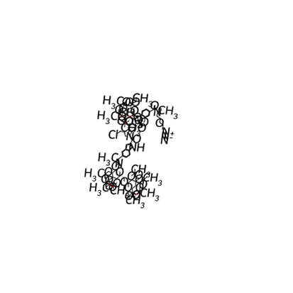 COC(=O)C1OC(OC[C@H]2O[C@@H](O/N=C(\C)c3ccc4[nH]c(C(=O)N5C[C@@H](CCl)c6c5cc(S(=O)(=O)Oc5cc(C(=O)N(C)CCOCCN=[N+]=[N-])ccc5OC5O[C@H](C(=O)OC)[C@@H](OC(C)=O)[C@H](OC(C)=O)[C@H]5OC(C)=O)c5ccc(OC)cc65)cc4c3)[C@H](OC(C)=O)C(OC(C)=O)[C@H]2OC(C)=O)[C@H](OC(C)=O)[C@@H](OC(C)=O)[C@@H]1OC(C)=O